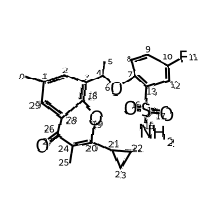 Cc1cc([C@@H](C)Oc2ccc(F)cc2S(N)(=O)=O)c2oc(C3CC3)c(C)c(=O)c2c1